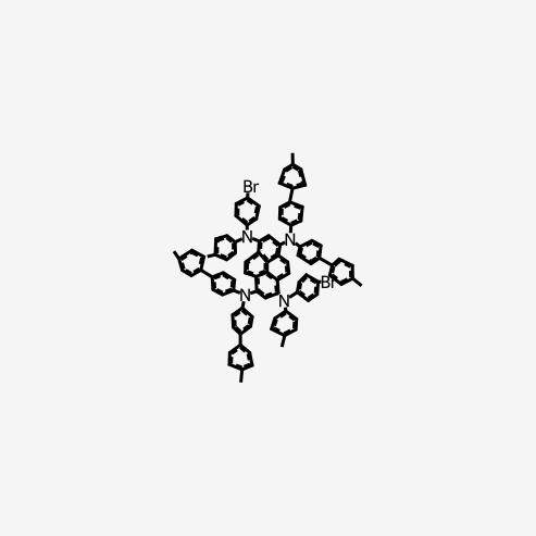 Cc1ccc(-c2ccc(N(c3ccc(-c4ccc(C)cc4)cc3)c3cc(N(c4ccc(C)cc4)c4ccc(Br)cc4)c4ccc5c(N(c6ccc(-c7ccc(C)cc7)cc6)c6ccc(-c7ccc(C)cc7)cc6)cc(N(c6ccc(C)cc6)c6ccc(Br)cc6)c6ccc3c4c65)cc2)cc1